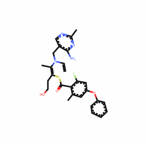 C=CN(Cc1cnc(C)nc1N)/C(C)=C(/CCO)SC(=O)c1c(C)cc(Oc2ccccc2)cc1F